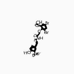 COc1cc(Br)cc(Br)c1OCC(=O)N/N=C/c1ccc(O)c([N+](=O)[O-])c1